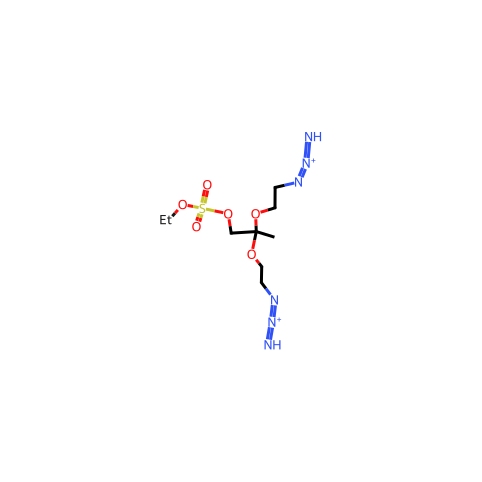 CCOS(=O)(=O)OCC(C)(OCCN=[N+]=N)OCCN=[N+]=N